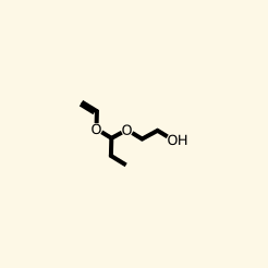 C=COC(CC)OCCO